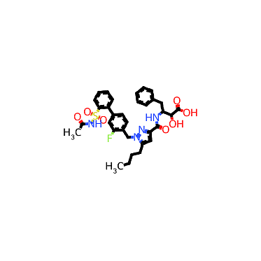 CCCCc1cc(C(=O)NC(Cc2ccccc2)C(O)C(=O)O)nn1Cc1ccc(-c2ccccc2S(=O)(=O)NC(C)=O)cc1F